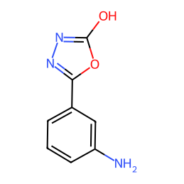 Nc1cccc(-c2nnc(O)o2)c1